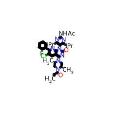 C=CC(=O)N1C[C@H](C)N(c2nc(=O)n(-c3c(C(C)C)nc(NC(C)=O)nc3C(C)C)c3nc(-c4ccccc4F)c(Cl)cc23)C[C@H]1C